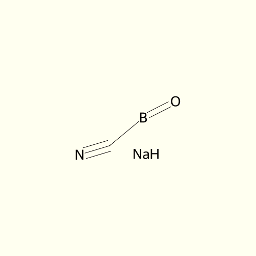 N#CB=O.[NaH]